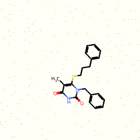 Cc1c(SCCCc2ccccc2)n(Cc2ccccc2)c(=O)[nH]c1=O